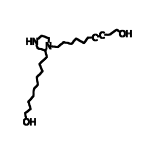 OCCCCCCCCCCC1CNCCN1CCCCCCCCCCO